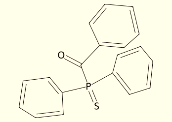 O=C(c1ccccc1)P(=S)(c1ccccc1)c1ccccc1